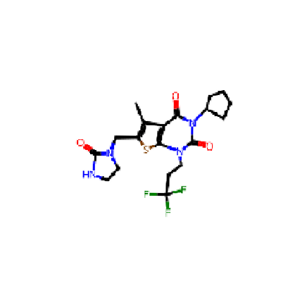 Cc1c(CN2CCNC2=O)sc2c1c(=O)n(C1CCCC1)c(=O)n2CCC(F)(F)F